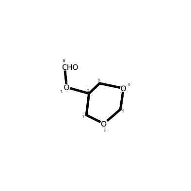 O=COC1COCOC1